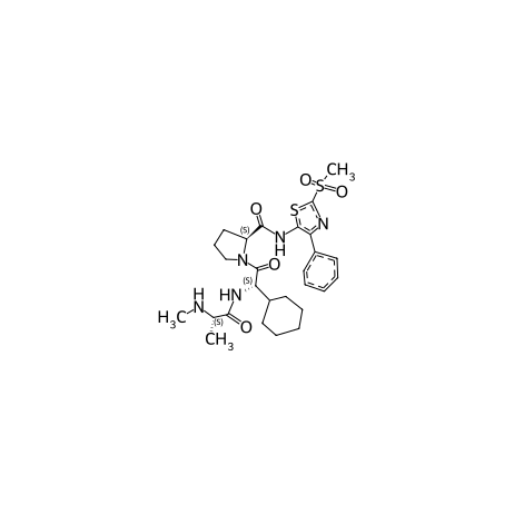 CN[C@@H](C)C(=O)N[C@H](C(=O)N1CCC[C@H]1C(=O)Nc1sc(S(C)(=O)=O)nc1-c1ccccc1)C1CCCCC1